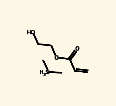 C=CC(=O)OCCO.C[SiH2]C